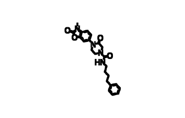 Cn1c(=O)oc2cc(N3CCN(C(=O)NCCCCc4ccccc4)CC3=O)ccc21